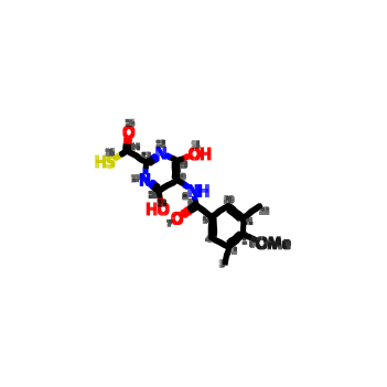 COc1c(C)cc(C(=O)Nc2c(O)nc(C(=O)S)nc2O)cc1C